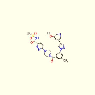 CCOc1cncc(-c2cnn(-c3cc(C(=O)N4CCN(c5ccc(C(=O)NS(=O)(=O)C(C)(C)C)nn5)CC4)cc(C(F)(F)F)c3)c2)c1